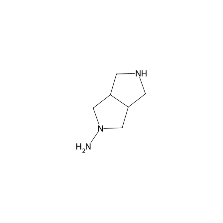 NN1CC2CNCC2C1